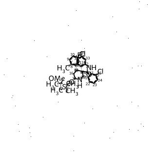 COC(C)[Si](C)(C)C.Cc1ccc(F)cc1[C@H]1CC(=O)N[C@@H](c2cccc(Cl)c2)[C@]12C(=O)Nc1cc(Cl)ccc12